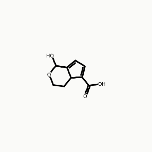 O=C(O)C1=CC=C2C(O)OCCC12